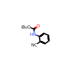 CC(C)COC(=O)Nc1ccccc1C#N